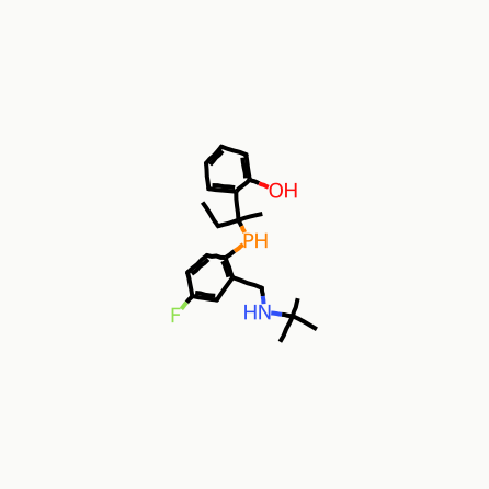 CCC(C)(Pc1ccc(F)cc1CNC(C)(C)C)c1ccccc1O